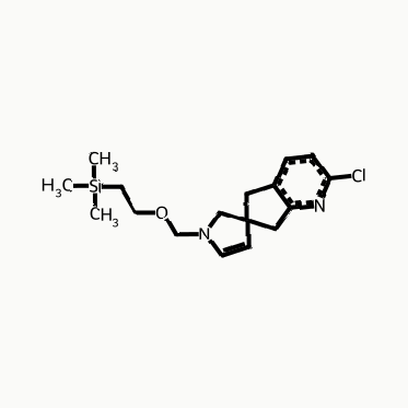 C[Si](C)(C)CCOCN1C=CC2(Cc3ccc(Cl)nc3C2)C1